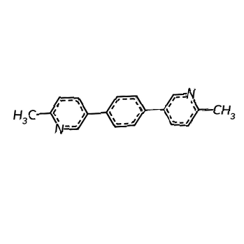 Cc1ccc(-c2ccc(-c3ccc(C)nc3)cc2)cn1